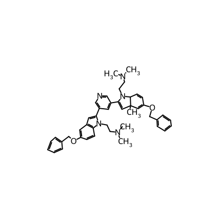 CN(C)CCN1C(c2cncc(-c3cc4cc(OCc5ccccc5)ccc4n3CCN(C)C)c2)=CC2(C)C=C(OCc3ccccc3)C=CC12